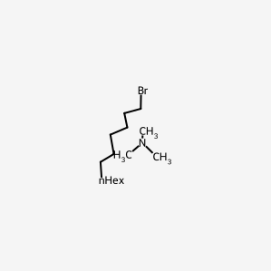 CCCCCCCCCCCCBr.CN(C)C